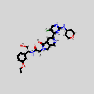 CCOc1cccc([C@@H](CO)NC(=O)[C@@H](C)N2Cc3cnc(-c4nc(NC5CCOCC5)ncc4Cl)cc3C2=O)c1